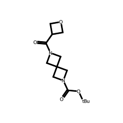 CC(C)(C)OC(=O)N1CC2(C1)CN(C(=O)C1COC1)C2